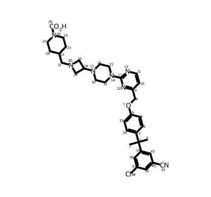 CC(C)(c1ccc(OCc2ccnc(N3CCN(C4CN(CC5CCN(C(=O)O)CC5)C4)CC3)n2)cc1)c1cc(Cl)cc(C#N)c1